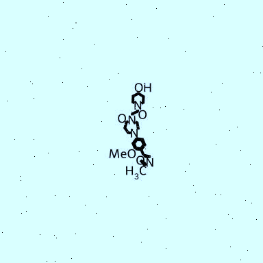 COc1cc(N2CCC(=O)N(CC(=O)N3CCC(O)CC3)CC2)ccc1-c1cnc(C)o1